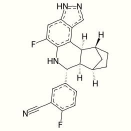 N#Cc1cc([C@@H]2Nc3c(F)cc4[nH]ncc4c3[C@H]3[C@@H]4CC[C@H](C4)[C@H]32)ccc1F